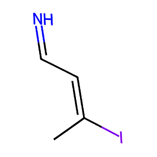 C/C(I)=C\C=N